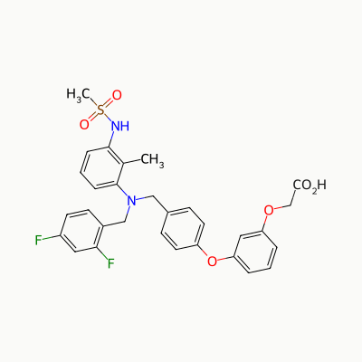 Cc1c(NS(C)(=O)=O)cccc1N(Cc1ccc(Oc2cccc(OCC(=O)O)c2)cc1)Cc1ccc(F)cc1F